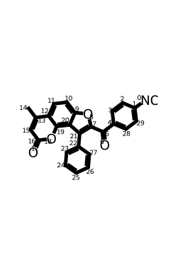 [C-]#[N+]c1ccc(C(=O)c2oc3ccc4c(C)cc(=O)oc4c3c2-c2ccccc2)cc1